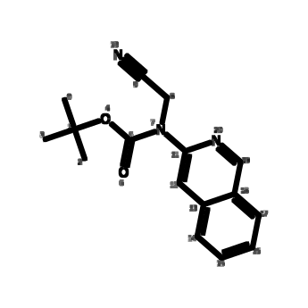 CC(C)(C)OC(=O)N(CC#N)c1cc2ccccc2cn1